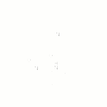 C1CCN(CC2CON=C(C3C4CNC3C4)O2)CC1